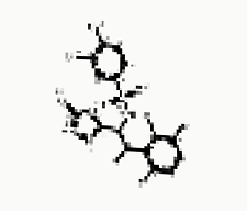 Cc1ccc(F)c(C(C)C(NS(=O)(=O)c2ccc(Cl)c(Br)c2)c2n[nH]c(=O)o2)c1C